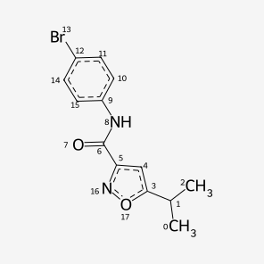 CC(C)c1cc(C(=O)Nc2ccc(Br)cc2)no1